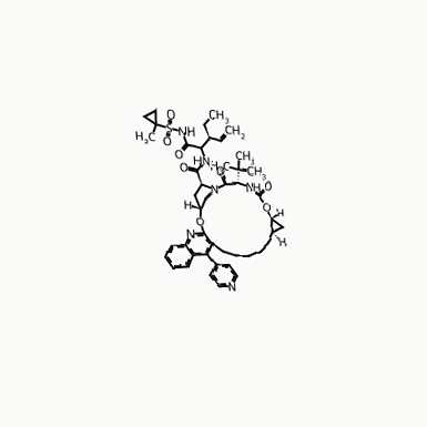 C=C[C@H](CC)C(NC(=O)[C@@H]1C[C@@H]2CN1C(=O)[C@H](C(C)(C)C)NC(=O)O[C@@H]1C[C@H]1CCCCCc1c(nc3ccccc3c1-c1ccncc1)O2)C(=O)NS(=O)(=O)C1(C)CC1